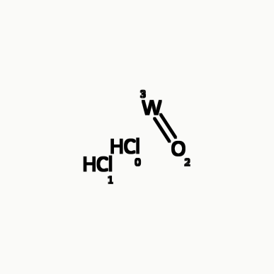 Cl.Cl.[O]=[W]